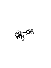 CC1(C)CCSc2ccc(C#Cc3ccc(C(=O)O)cc3)cc21